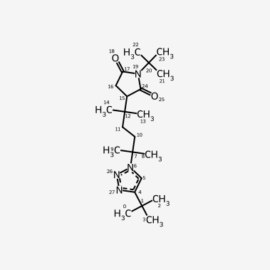 CC(C)(C)c1cn(C(C)(C)CCC(C)(C)C2CC(=O)N(C(C)(C)C)C2=O)nn1